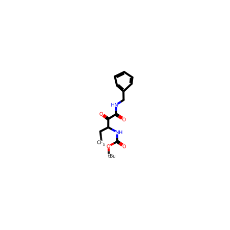 CC(C)(C)OC(=O)NC(CC(F)(F)F)C(=O)C(=O)NCc1ccccc1